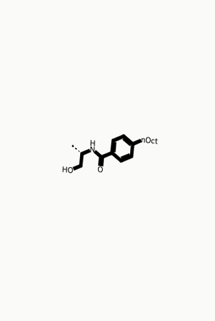 CCCCCCCCc1ccc(C(=O)N[C@@H](C)CO)cc1